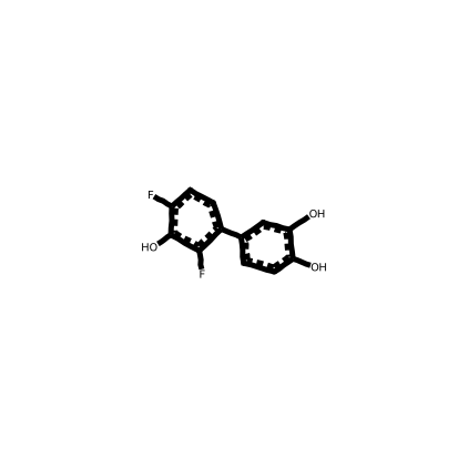 Oc1ccc(-c2ccc(F)c(O)c2F)cc1O